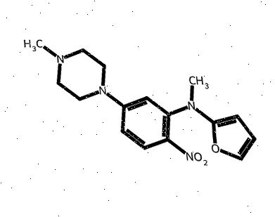 CN1CCN(c2ccc([N+](=O)[O-])c(N(C)c3ccco3)c2)CC1